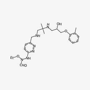 CCON(C=O)Nc1ccc(CNCC(C)(C)NCC(O)COc2ccccc2C)nn1